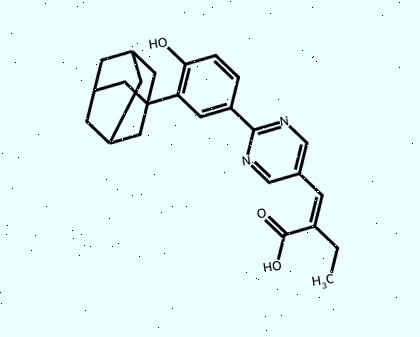 CCC(=Cc1cnc(-c2ccc(O)c(C34CC5CC(CC(C5)C3)C4)c2)nc1)C(=O)O